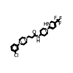 O=C(CCN1CCN(c2cccc(Cl)c2)CC1)NC1CCN(C2=CC=C(C(F)(F)F)CN2)CC1